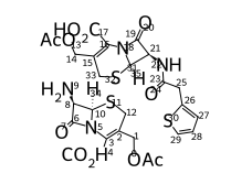 CC(=O)OCC1=C(C(=O)O)N2C(=O)[C@@H](N)[C@H]2SC1.CC(=O)OCC1=C(C(=O)O)N2C(=O)[C@@H](NC(=O)Cc3cccs3)[C@H]2SC1